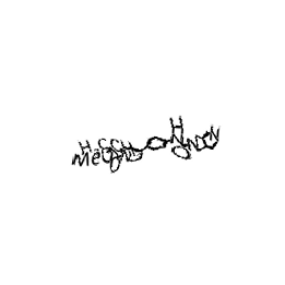 COC(C)(C)C(=O)N1CC=C(c2ccc(NC(=O)N3Cc4ccncc4C3)cc2)CC1